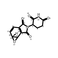 O=C1CCC(N2C(=O)C3=C(C2=O)C2O[C@@H]2C=C3)C(=O)N1